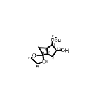 CCCCC1C(O)CC2C1CC21OCCO1